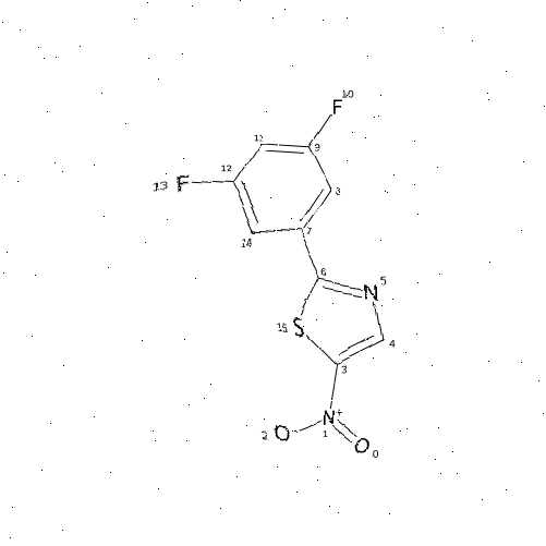 O=[N+]([O-])c1cnc(-c2cc(F)cc(F)c2)s1